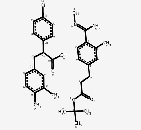 Cc1cc(CCC(=O)OC(C)(C)C)ccc1/C(N)=N/O.Cc1ccc(CC(C(=O)O)c2ccc(Cl)cc2)cc1C